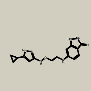 O=c1[nH][nH]c2cc(NCCONc3cc(C4CC4)[nH]n3)ccc12